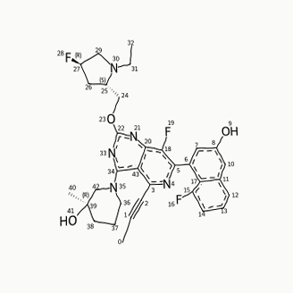 CC#Cc1nc(-c2cc(O)cc3cccc(F)c23)c(F)c2nc(OC[C@@H]3C[C@@H](F)CN3CC)nc(N3CCC[C@@](C)(O)C3)c12